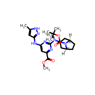 COC(=O)c1cc(Nc2cc(C)[nH]n2)nc(N(C)C2C[C@H]3CC[C@@H](C2)N3C(=O)OC(C)(C)C)n1